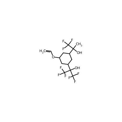 C=COC1CC(C(C)(O)C(F)(F)F)CC(C(O)(C(F)(F)F)C(F)(F)F)C1